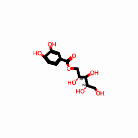 O=C(OC[C@@H](O)C(O)[C@@H](O)CO)C1=C=C=C(O)C(O)=C1